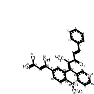 C/C(C(=O)/C=C/c1ccccc1)=C(/c1cccnc1)c1cc(/C(O)=C/C(=N)Cl)ccc1NC=O